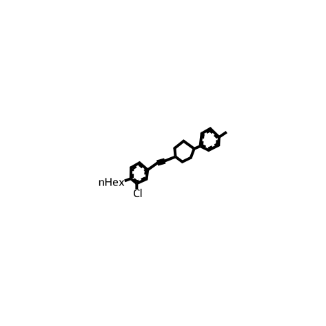 CCCCCCc1ccc(C#CC2CCC(c3ccc(C)cc3)CC2)cc1Cl